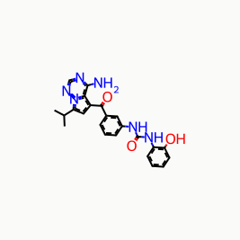 CC(C)c1cc(C(=O)c2cccc(NC(=O)Nc3ccccc3O)c2)c2c(N)ncnn12